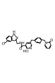 Cl.O=C(NCc1n[nH]c2ccc(Cl)cc12)c1cncc(Cc2ccc(Cn3ccccc3=O)cc2)c1